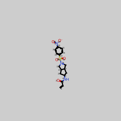 C=CC(=O)NC1CC2CN(S(=O)(=O)c3ccc([N+](=O)[O-])cc3)CC2C1